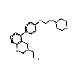 NCC1COc2cccc(-c3ccc(OCCN4CCOCC4)cn3)c2O1